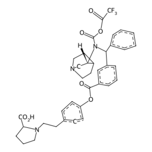 O=C(Oc1ccc(CCN2CCCC2C(=O)O)cc1)c1cccc(C(c2ccccc2)N(C(=O)OC(=O)C(F)(F)F)[C@H]2CN3CCC2CC3)c1